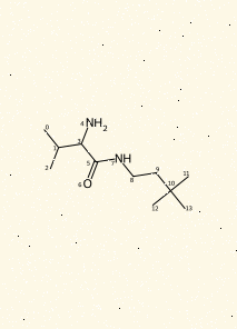 CC(C)C(N)C(=O)NCCC(C)(C)C